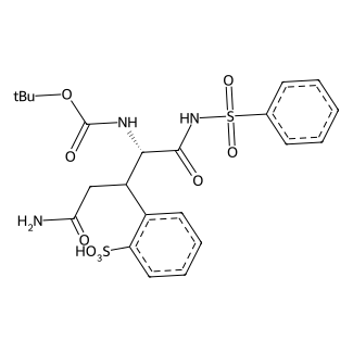 CC(C)(C)OC(=O)N[C@H](C(=O)NS(=O)(=O)c1ccccc1)C(CC(N)=O)c1ccccc1S(=O)(=O)O